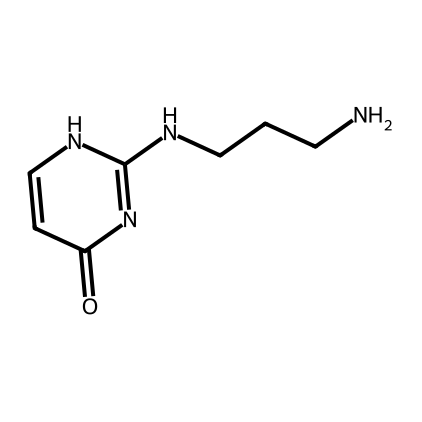 NCCCNc1nc(=O)cc[nH]1